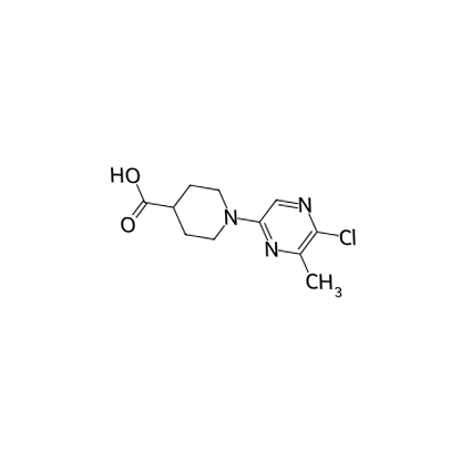 Cc1nc(N2CCC(C(=O)O)CC2)cnc1Cl